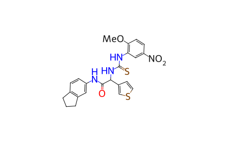 COc1ccc([N+](=O)[O-])cc1NC(=S)NC(C(=O)Nc1ccc2c(c1)CCC2)c1ccsc1